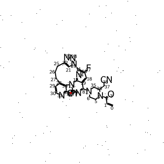 C=CC(=O)N1CCN(c2nc(=O)n3c4nc(c(F)cc24)-n2cc(nn2)CCCc2ccnc(C(C)C)c2-3)CC1CC#N